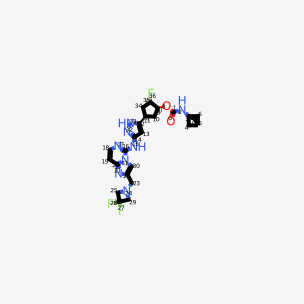 O=C(NC12CC(C1)C2)O[C@H]1C[C@@H](c2cc(Nc3nccc4nc(CN5CC(F)(F)C5)cn34)n[nH]2)C[C@H]1F